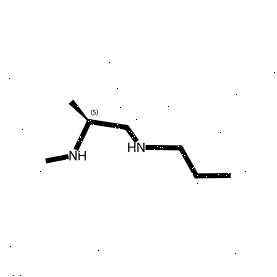 CCCNC[C@H](C)NC